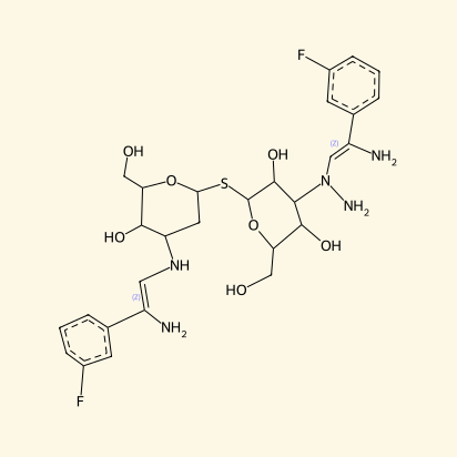 N/C(=C\NC1CC(SC2OC(CO)C(O)C(N(N)/C=C(\N)c3cccc(F)c3)C2O)OC(CO)C1O)c1cccc(F)c1